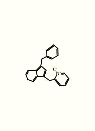 [CH2-][n+]1ccccc1CC1=CC(Cc2ccccc2)=C2C=CCC=C12